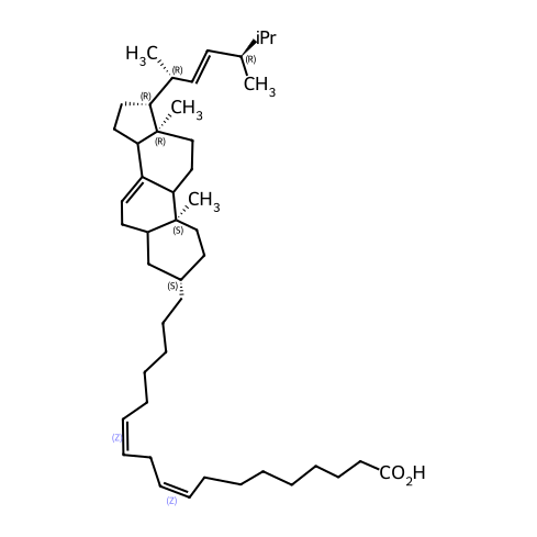 CC(C)[C@@H](C)C=C[C@@H](C)[C@H]1CCC2C3=CCC4C[C@@H](CCCCC/C=C\C/C=C\CCCCCCCC(=O)O)CC[C@]4(C)C3CC[C@@]21C